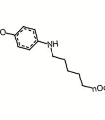 CCCCCCCCCCCCCNc1ccc(O)cc1